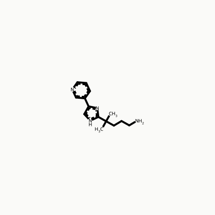 CC(C)(CCCN)c1nc(-c2cccnc2)c[nH]1